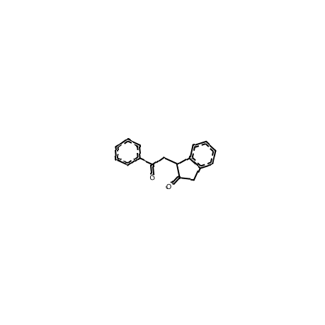 O=C(CC1C(=O)Cc2ccccc21)c1ccccc1